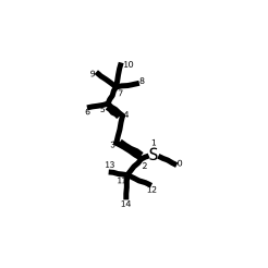 CS/C(=C\C=C(/C)C(C)(C)C)C(C)(C)C